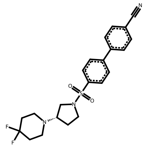 N#Cc1ccc(-c2ccc(S(=O)(=O)N3CC[C@H](N4CCC(F)(F)CC4)C3)cc2)cc1